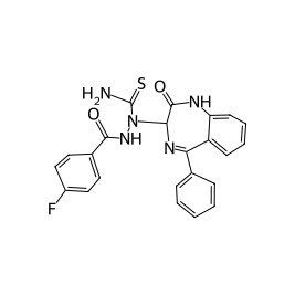 NC(=S)N(NC(=O)c1ccc(F)cc1)C1N=C(c2ccccc2)c2ccccc2NC1=O